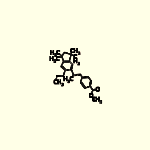 CCCc1cc2c(cc1/C(C)=C/c1ccc(C(=O)OC)cc1)C(C)(C)CC2(C)C